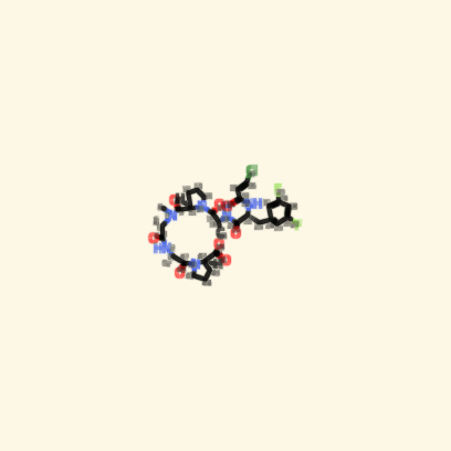 C[C@@H]1NC(=O)[C@H](C)N(C)C(=O)[C@@H]2CCCN2C(=O)[C@@H](NC(=O)[C@H](Cc2cc(F)cc(F)c2)NC(=O)/C=C/Cl)COC(=O)[C@@H]2CCCN2C1=O